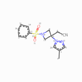 Cc1cnn(C2(CC#N)CN(S(=O)(=O)c3ccccc3)C2)c1